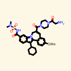 COc1ccc2c(c1)C=C(C(=O)N1CCN(C(=O)CN)CC1)Cn1c-2c(C2CCCCC2)c2ccc(C(=O)NS(=O)(=O)N(C)C)cc21